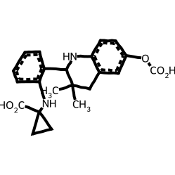 CC1(C)Cc2cc(OC(=O)O)ccc2NC1c1ccccc1NC1(C(=O)O)CC1